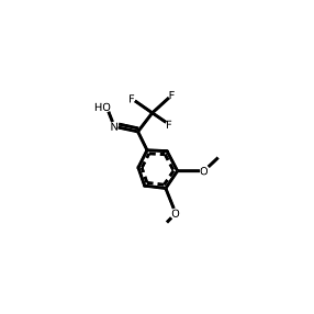 COc1ccc(/C(=N/O)C(F)(F)F)cc1OC